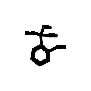 COc1ccccc1C(OC)(OC)OC